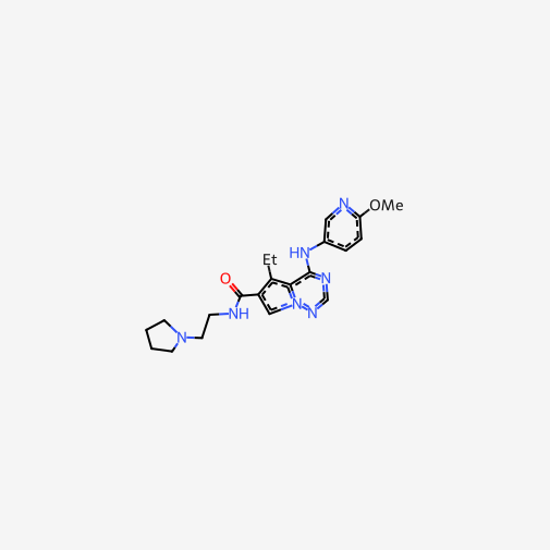 CCc1c(C(=O)NCCN2CCCC2)cn2ncnc(Nc3ccc(OC)nc3)c12